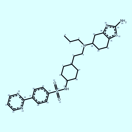 CCCN(CCC1CCC(NS(=O)(=O)c2ccc(-c3ncccn3)cc2)CC1)C1CCc2sc(N)nc2C1